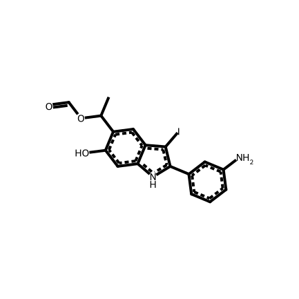 CC(OC=O)c1cc2c(I)c(-c3cccc(N)c3)[nH]c2cc1O